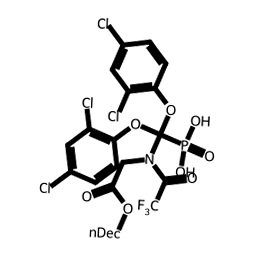 CCCCCCCCCCOC(=O)CN(C(=O)C(F)(F)F)C(Oc1ccc(Cl)cc1Cl)(Oc1ccc(Cl)cc1Cl)P(=O)(O)O